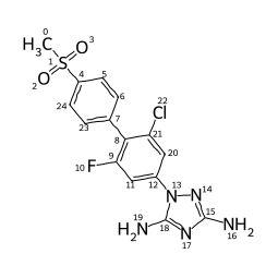 CS(=O)(=O)c1ccc(-c2c(F)cc(-n3nc(N)nc3N)cc2Cl)cc1